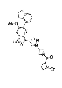 CCN1CCC1C(=O)N1CC(n2cc(-c3n[nH]c4cc(OC)c(-c5cccc6c5CCC6)nc34)cn2)C1